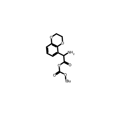 CC(C)(C)OC(=O)OC(=O)C(N)c1cccc2c1OCCO2